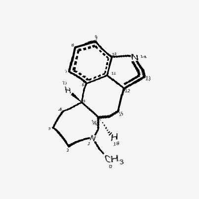 CN1CCC[C@@H]2c3cccc4c3C(=C=N4)C[C@H]21